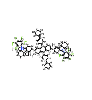 CC12CCCCC1(C)N(c1c(F)c(F)c(F)c(F)c1F)c1ccc(-c3ccc4c(-c5ccc(-c6ccccc6)cc5)c5cc(-c6ccc7c(c6)C6(C)CCCCC6(C)N7c6c(F)c(F)c(F)c(F)c6F)ccc5c(-c5ccc(-c6ccccc6)cc5)c4c3)cc12